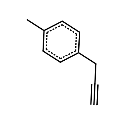 [C]#CCc1ccc(C)cc1